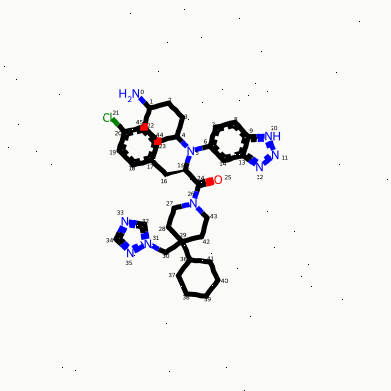 NC1CCC(N(c2ccc3[nH]nnc3c2)[C@H](Cc2ccc(Cl)cc2)C(=O)N2CCC(Cn3cncn3)(C3CCCCC3)CC2)CC1